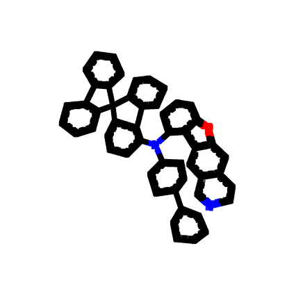 c1ccc(-c2ccc(N(c3cccc4c3-c3ccccc3C43c4ccccc4-c4ccccc43)c3cccc4oc5cc6ccncc6cc5c34)cc2)cc1